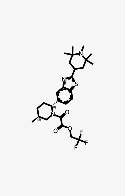 C[C@H]1CC[C@H](c2ccc3sc(C4CC(C)(C)N(C)C(C)(C)C4)nc3c2)N(C(=O)C(=O)OCC(F)(F)F)C1